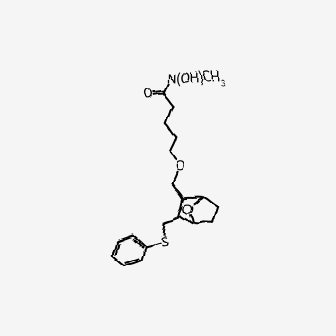 CN(O)C(=O)CCCCOCC1C2CCC(O2)C1CSc1ccccc1